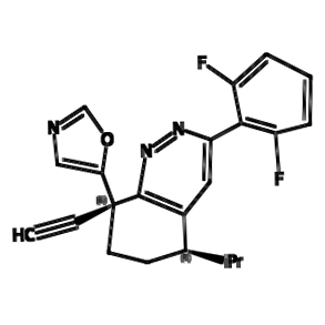 C#C[C@]1(c2cnco2)CC[C@H](C(C)C)c2cc(-c3c(F)cccc3F)nnc21